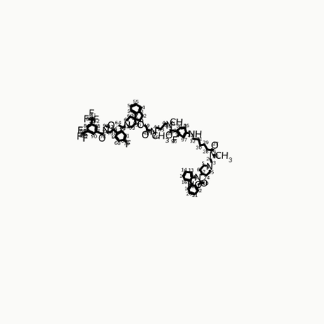 CN(CCN1CCC(N(C(=O)O)c2ccccc2-c2ccccc2)CC1)C(=O)CCCCCNc1ccc(C(=O)N(C)CCCN(C)C(=O)CO[C@H]2Cc3ccccc3C23CCN(CC[C@]2(c4ccc(F)cc4)CN(C(=O)c4cc(C(F)(F)F)cc(C(F)(F)F)c4)CO2)CC3)c(F)c1